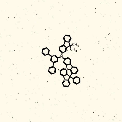 CC1(C)c2ccccc2-c2ccc(N(c3cc(-c4ccccc4)cc(-c4ccccc4)c3)c3ccc4c(c3)oc3c(C5(c6ccccc6)c6ccccc6-c6ccccc65)cccc34)cc21